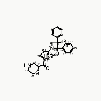 CC(C)(C)C1(c2ccccc2)CN(c2nc(C(=O)C3CNCCS3)cs2)C1(O[SiH3])c1ccccc1